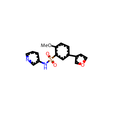 COc1ccc(-c2ccoc2)cc1S(=O)(=O)Nc1cccnc1